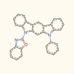 c1ccc(-n2c3ccccc3c3cc4c5ccccc5n(-c5nc6ccccc6o5)c4cc32)cc1